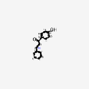 O=C(/C=C/c1cc[c]cc1)c1ccc(O)cc1